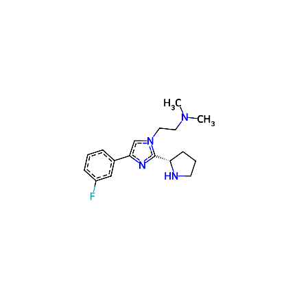 CN(C)CCn1cc(-c2cccc(F)c2)nc1[C@@H]1CCCN1